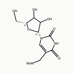 CNCc1cn([C@@H]2O[C@H](CO)C(O)C2O)c(=O)[nH]c1=O